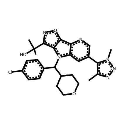 Cc1nnn(C)c1-c1cnc2c3onc(C(C)(C)O)c3n(C(c3ccc(Cl)cc3)C3CCOCC3)c2c1